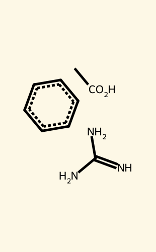 CC(=O)O.N=C(N)N.c1ccccc1